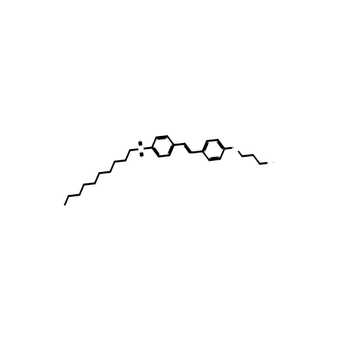 CCCCCCCCCCS(=O)(=O)c1ccc(C=Cc2ccc(OCCCO)cc2)cc1